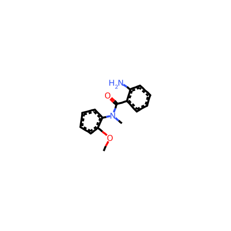 COc1ccccc1N(C)C(=O)c1ccccc1N